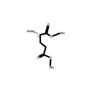 CN[C@@H](CCC(=O)OC(C)(C)C)C(=O)OC(C)(C)C